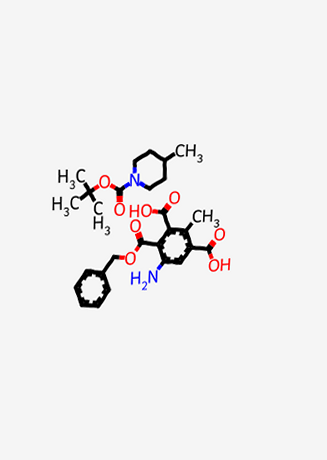 CC1CCN(C(=O)OC(C)(C)C)CC1.Cc1c(C(=O)O)cc(N)c(C(=O)OCc2ccccc2)c1C(=O)O